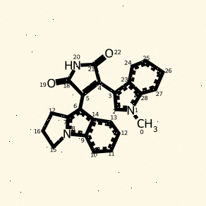 Cn1cc(C2=C(c3c4n(c5ccccc35)CCC4)C(=O)NC2=O)c2ccccc21